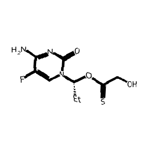 CC[C@@H](OC(=S)CO)n1cc(F)c(N)nc1=O